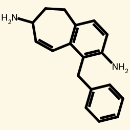 Nc1ccc2c(c1Cc1ccccc1)C=CC(N)CC2